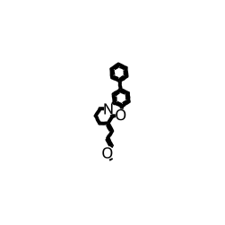 COC=CC=C1CCCN2c3cc(-c4ccccc4)ccc3OC12